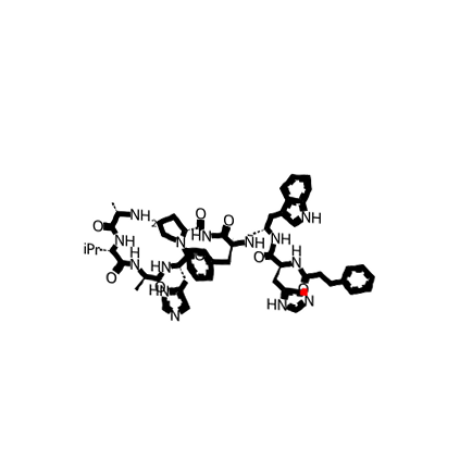 CC(C)[C@H](NC(=O)[C@H](C)N)C(=O)N[C@H](C)C(=O)N[C@@H](Cc1cnc[nH]1)C(=O)N1CCC[C@@H]1C(=O)NC(=O)[C@H](Cc1ccccc1)NC[C@H](Cc1c[nH]c2ccccc12)NC(=O)[C@H](Cc1cnc[nH]1)NC(=O)CCc1ccccc1